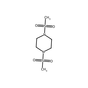 CS(=O)(=O)N1CCN(S(C)(=O)=O)CC1